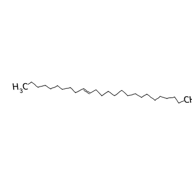 CCCCCCCCCC=CCCCCCCCCCCCCCCC